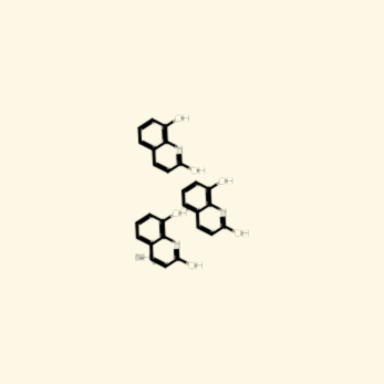 Oc1ccc2cccc(O)c2n1.Oc1ccc2cccc(O)c2n1.Oc1ccc2cccc(O)c2n1.[BiH3]